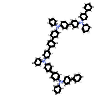 C1=CC(N(c2ccc(-c3ccccc3)cc2)c2ccc(-c3ccc(N(c4ccccc4)c4ccc(-c5ccc(-c6ccc(N(c7ccccc7)c7ccc(-c8ccc(N(c9ccccc9)c9ccc(-c%10ccccc%10)cc9)cc8)cc7)cc6)cc5)cc4)cc3)cc2)=CCC1